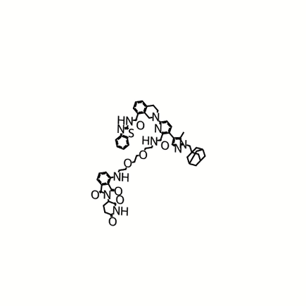 Cc1c(-c2ccc(N3CCc4cccc(C(=O)Nc5nc6ccccc6s5)c4C3)nc2C(=O)NCCOCCOCCNc2cccc3c2C(=O)N(C2CCC(=O)NC2=O)C3=O)cnn1CC12CC3CC(CC(C3)C1)C2